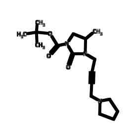 CC1CN(C(=O)OC(C)(C)C)C(=O)N1CC#CCN1CCCC1